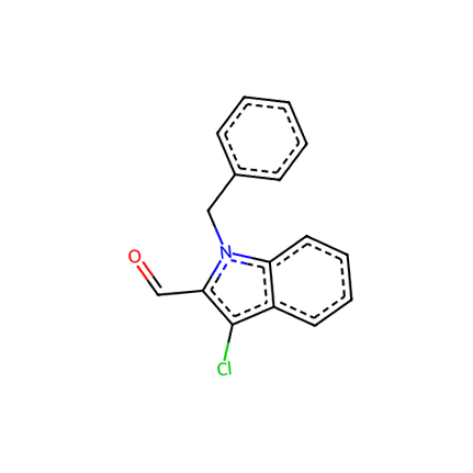 O=Cc1c(Cl)c2ccccc2n1Cc1ccccc1